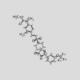 COC(=O)N(C)c1ccc(C=CS(=O)(=O)N2CCC3(CC2)N=C(c2cccc(OC(F)(F)F)c2)NC3=O)c(C)c1